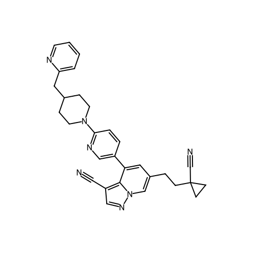 N#Cc1cnn2cc(CCC3(C#N)CC3)cc(-c3ccc(N4CCC(Cc5ccccn5)CC4)nc3)c12